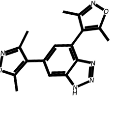 Cc1noc(C)c1-c1cc(-c2c(C)noc2C)c2nn[nH]c2c1